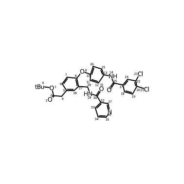 CC(C)(C)OC(=O)Cc1ccc(Oc2ccc(NC(=O)c3ccc(Cl)c(Cl)c3)cc2)c(CNC(=O)c2cccnc2)c1